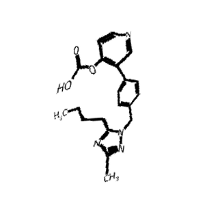 CCCCc1nc(C)nn1Cc1ccc(-c2cnccc2OC(=O)O)cc1